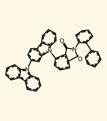 O=C1c2cccc(-n3c4ccccc4c4ccc(-n5c6ccccc6c6ccccc65)cc43)c2C(=O)N1c1ccccc1-c1ccccc1